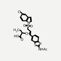 CC(=O)Nc1nc2ccc(C=CCS(=O)(=O)n3ccc4cc(Cl)ccc43)cc2s1.CCC(C)C(=O)O